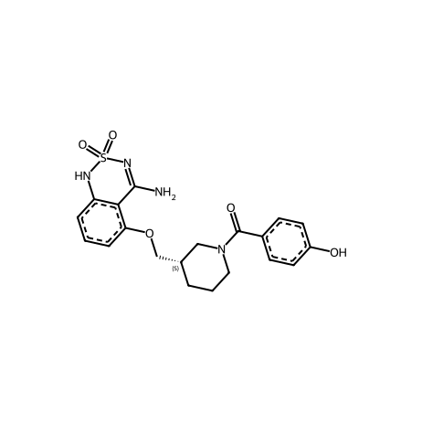 NC1=NS(=O)(=O)Nc2cccc(OC[C@H]3CCCN(C(=O)c4ccc(O)cc4)C3)c21